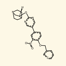 O=[N+]([O-])c1cc(-c2cnc(O[C@H]3CN4CCC3CC4)nc2)ccc1OCc1ccccc1